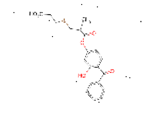 CC(CSCCC(=O)O)C(=O)Oc1ccc(C(=O)c2ccccc2)c(O)c1